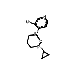 Nc1cnccc1[C@H]1C[CH][CH][C@H](C2CC2)O1